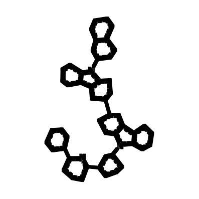 c1ccc(-c2cccc(-c3cccc(-n4c5ccccc5c5cc(-c6ccc7c(c6)c6ccccc6n7-c6ccc7ccccc7c6)ccc54)c3)n2)cc1